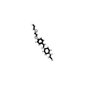 CCCOCCOc1ccc(CC[C@H]2CC[C@H](CCC)CC2)cc1